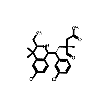 CC1(C)c2cc(Cl)ccc2C([C@H](C[C@@](C)(C=O)CC(=O)O)c2cccc(Cl)c2)NC1CS